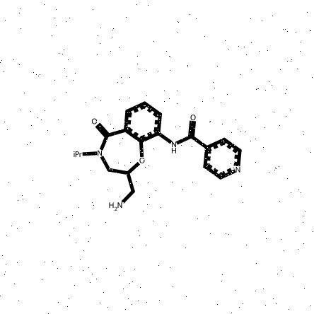 CC(C)N1CC(CN)Oc2c(NC(=O)c3ccncc3)cccc2C1=O